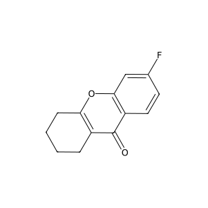 O=c1c2c(oc3cc(F)ccc13)CCCC2